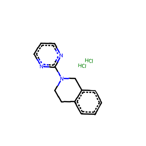 Cl.Cl.c1cnc(N2CCc3ccccc3C2)nc1